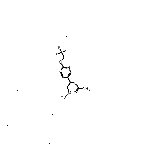 COCC(OC(N)=O)c1ccc(OCC(F)(F)F)nc1